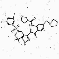 CC1(C)CN(S(=O)(=O)c2cc(F)cc(F)c2)Cc2c(NC(=O)c3ccc(CN4CCCC4)cc3NC(=O)C3CCOC3)n[nH]c21